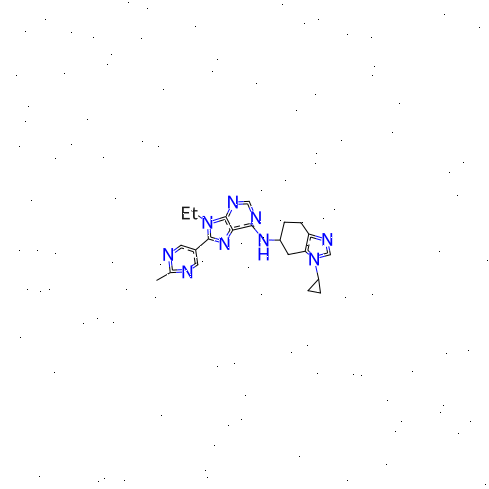 CCn1c(-c2cnc(C)nc2)nc2c(NC3CCc4ncn(C5CC5)c4C3)ncnc21